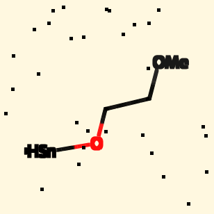 COCC[O][SnH]